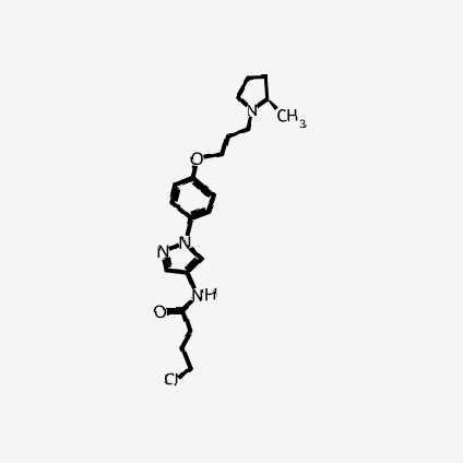 C[C@@H]1CCCN1CCCOc1ccc(-n2cc(NC(=O)CCCCl)cn2)cc1